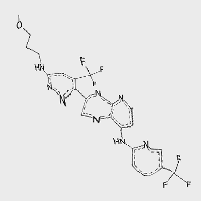 COCCCNc1cc(C(F)(F)F)c(-c2cnc3c(Nc4ccc(C(F)(F)F)cn4)ccnc3n2)nn1